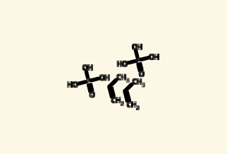 C=CC.C=CC.O=P(O)(O)O.O=P(O)(O)O